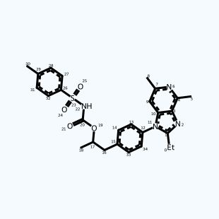 CCc1nc2c(C)nc(C)cc2n1-c1ccc(CC(C)OC(=O)NS(=O)(=O)c2ccc(C)cc2)cc1